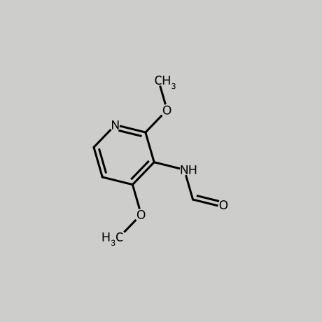 COc1ccnc(OC)c1NC=O